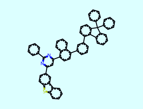 c1ccc(-c2nc(-c3ccc4sc5ccccc5c4c3)cc(-c3ccc(-c4cccc(-c5cccc6c5-c5ccccc5C6(c5ccccc5)c5ccccc5)c4)c4ccccc34)n2)cc1